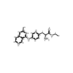 CCOC(=O)C(N)Cc1ccc(Oc2nc(C)cc3ccncc23)cn1